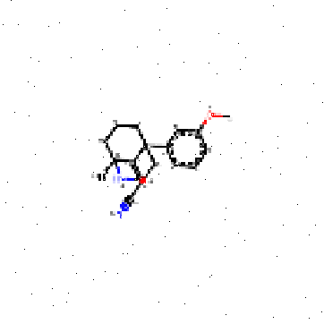 COc1cccc([C@@]23CCC[C@@H](NCC2)/C3=C\C#N)c1